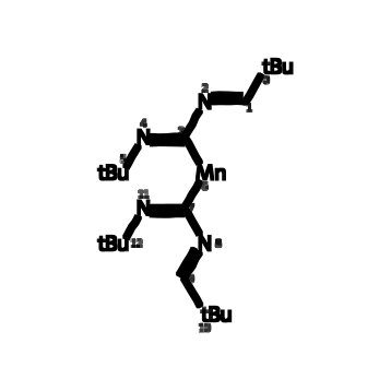 CC(C)(C)C=N[C](=NC(C)(C)C)[Mn][C](N=CC(C)(C)C)=NC(C)(C)C